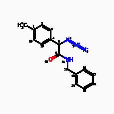 Cc1ccc(C(N=[N+]=[N-])C(=O)NCc2ccccc2)cc1